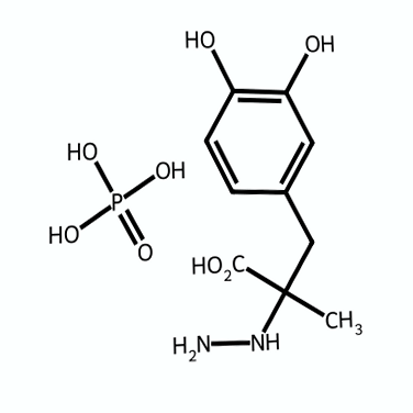 CC(Cc1ccc(O)c(O)c1)(NN)C(=O)O.O=P(O)(O)O